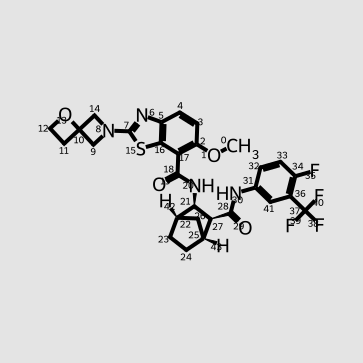 COc1ccc2nc(N3CC4(CCO4)C3)sc2c1C(=O)N[C@@H]1[C@H]2CC[C@H](C2)[C@@H]1C(=O)Nc1ccc(F)c(C(F)(F)F)c1